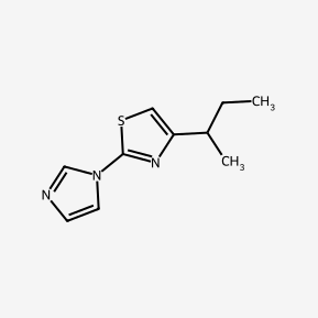 CCC(C)c1csc(-n2ccnc2)n1